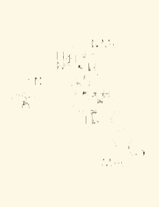 CNC(C)[C@@H]1CC[C@]2(NCCN3CCS(=O)(=O)CC3)CC[C@]3(C)[C@H](CC[C@@H]4[C@@]5(C)CC=C(c6ccc(C(=O)OC)cc6)C(C)(C)[C@@H]5CC[C@]43C)[C@@H]12